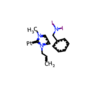 C=CCn1ccn(C)[c]1=[Pt].IN(I)Cc1ccccc1